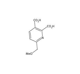 COCc1ccc(C(=O)O)c(C(=O)O)n1